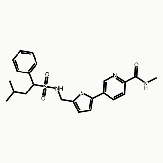 CNC(=O)c1ccc(-c2ccc(CNS(=O)(=O)C(CC(C)C)c3ccccc3)s2)cn1